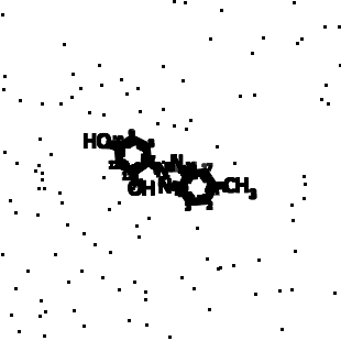 Cc1ccc2nn(-c3ccc(O)cc3O)nc2c1